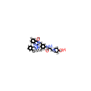 COc1ccccc1-c1nnc2n(Cc3cccc(NC(=O)CCN4CCC(O)CC4)c3)c(=O)c3ccccc3n12